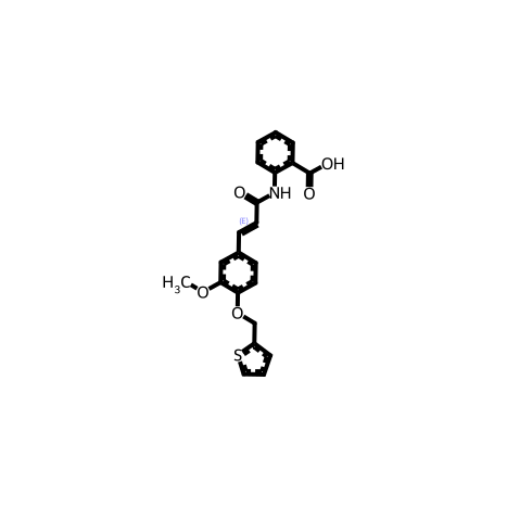 COc1cc(/C=C/C(=O)Nc2ccccc2C(=O)O)ccc1OCc1cccs1